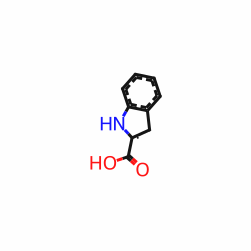 O=C(O)[C]1Cc2ccccc2N1